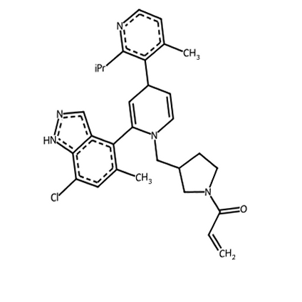 C=CC(=O)N1CCC(CN2C=CC(c3c(C)ccnc3C(C)C)C=C2c2c(C)cc(Cl)c3[nH]ncc23)C1